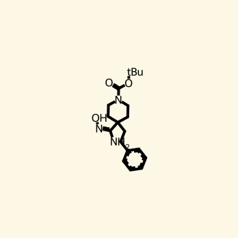 CC(C)(C)OC(=O)N1CCC(CCc2ccccc2)(/C(N)=N\O)CC1